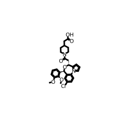 COc1cccc([C@H]2O[C@H](CC(=O)N3CCC(CC(=O)O)CC3)c3cccn3-c3ccc(Cl)cc32)c1OC